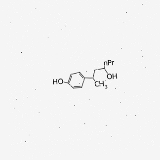 CCCC(O)CC(C)c1ccc(O)cc1